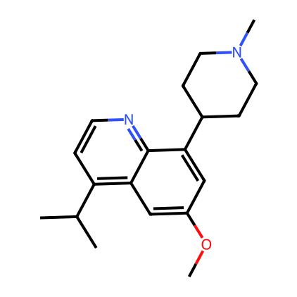 COc1cc(C2CCN(C)CC2)c2nccc(C(C)C)c2c1